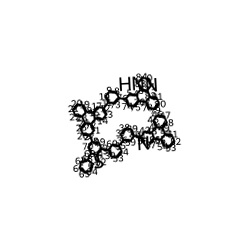 C1=Nc2c(c3cc(-c4cccc(-c5ccc6c(c5)c5ccccc5c5ccc(-c7cc(-c8cccc(-c9cccc(-c%10cc%11c%12ccccc%12c%12ccccc%12c%11cn%10)c9)c8)c8sc9ccccc9c8c7)cc56)c4)ccc3c3ccccc23)NC1